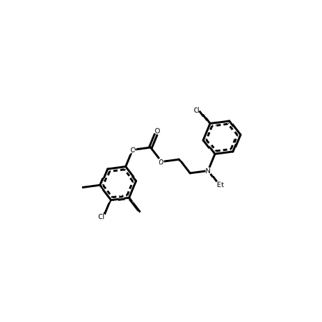 CCN(CCOC(=O)Oc1cc(C)c(Cl)c(C)c1)c1cccc(Cl)c1